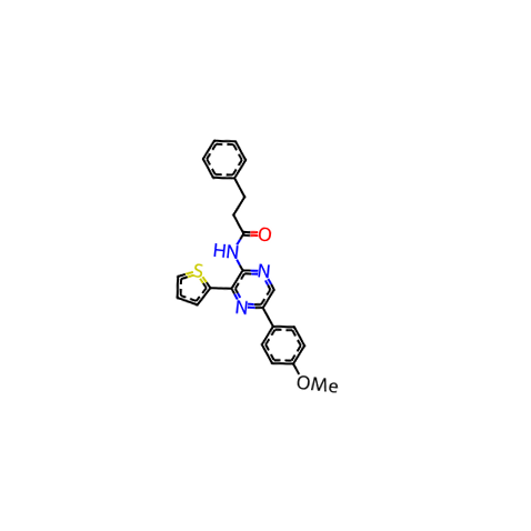 COc1ccc(-c2cnc(NC(=O)CCc3ccccc3)c(-c3cccs3)n2)cc1